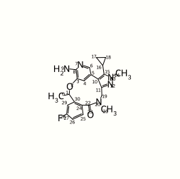 CC1Oc2cc(cnc2N)-c2c(nn(C)c2C2CC2)CN(C)C(=O)c2ccc(F)cc21